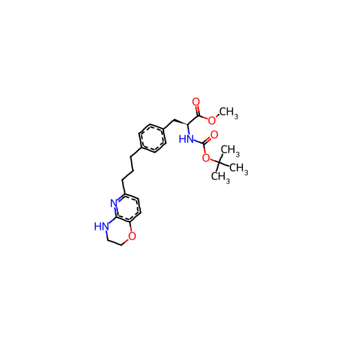 COC(=O)[C@H](Cc1ccc(CCCc2ccc3c(n2)NCCO3)cc1)NC(=O)OC(C)(C)C